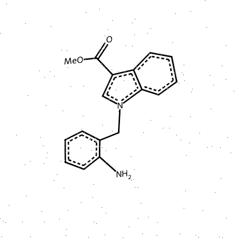 COC(=O)c1cn(Cc2ccccc2N)c2ccccc12